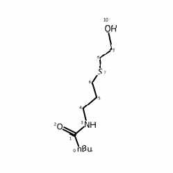 CCCCC(=O)NCCCSCCO